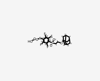 O=S(=O)(CCOC12CC3CC(CC(C3)C1)C2)c1c(F)c(F)c(SOOO)c(F)c1F